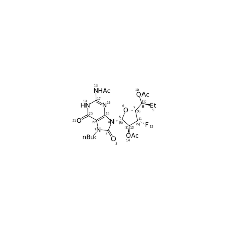 CCCCn1c(=O)n([C@@H]2O[C@H]([C@H](CC)OC(C)=O)[C@H](F)[C@H]2OC(C)=O)c2nc(NC(C)=O)[nH]c(=O)c21